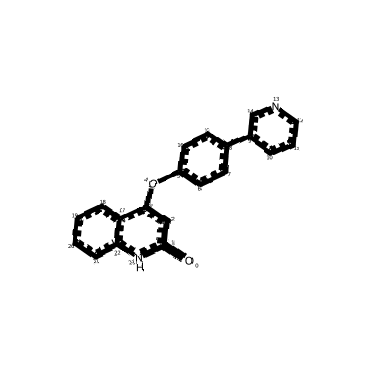 O=c1cc(Oc2ccc(-c3cccnc3)cc2)c2ccccc2[nH]1